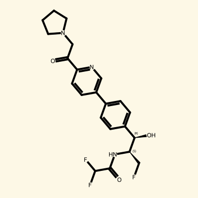 O=C(CN1CCCC1)c1ccc(-c2ccc([C@@H](O)[C@@H](CF)NC(=O)C(F)F)cc2)cn1